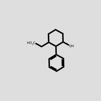 O=C(O)CC1CCCC(O)C1c1ccccc1